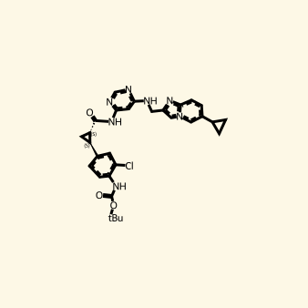 CC(C)(C)OC(=O)Nc1ccc([C@H]2C[C@@H]2C(=O)Nc2cc(NCc3cn4cc(C5CC5)ccc4n3)ncn2)cc1Cl